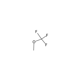 COC(F)(F)F